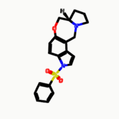 O=S(=O)(c1ccccc1)n1ccc2c3c(ccc21)OC[C@@H]1CCCN1C3